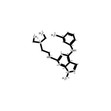 CCN(CC)CCNc1nc(Nc2cccc(C)c2)c2cnn(C)c2n1